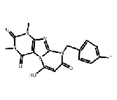 Cn1c(=O)c2c(nc3n(Cc4ccc(F)cc4)c(=O)cc(O)n23)n(C)c1=O